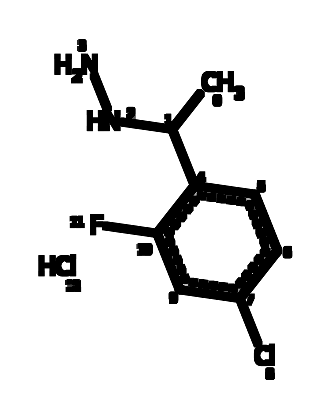 CC(NN)c1ccc(Cl)cc1F.Cl